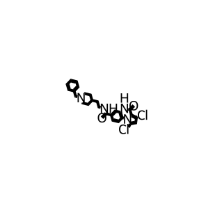 O=C(NCCC1CCN(Cc2ccccc2)CC1)c1ccc2c(c1)[nH]c(=O)c1c(Cl)cc(Cl)n12